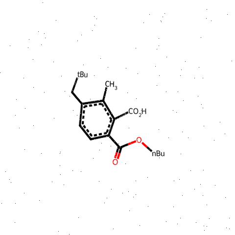 CCCCOC(=O)c1ccc(CC(C)(C)C)c(C)c1C(=O)O